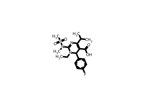 CCN1C(N(C)S(C)(=O)=O)=NC(C(C)C)=C(C(=O)O)C1c1ccc(F)cc1